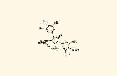 CCCCCCCCc1c(CCCC)cc(C2=C(CCCC)C(CCCCC)=C(c3cc(CCCC)c(CCCCCCCC)c(CCCC)c3)[N+]2=[N-])cc1CCCC.CCCC[CH2][Ni][CH2]CCCC